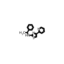 CC(Nc1nc(-c2ccccn2)cs1)c1ccccc1